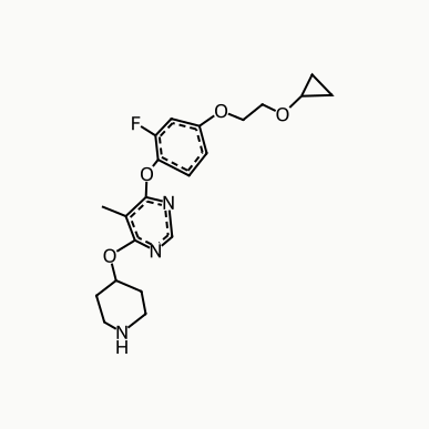 Cc1c(Oc2ccc(OCCOC3CC3)cc2F)ncnc1OC1CCNCC1